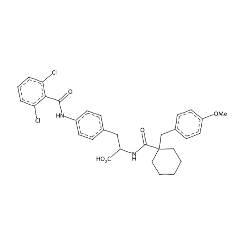 COc1ccc(CC2(C(=O)NC(Cc3ccc(NC(=O)c4c(Cl)cccc4Cl)cc3)C(=O)O)CCCCC2)cc1